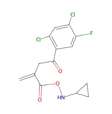 C=C(CC(=O)c1cc(F)c(Cl)cc1Cl)C(=O)ONC1CC1